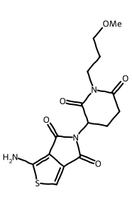 COCCCN1C(=O)CCC(N2C(=O)c3csc(N)c3C2=O)C1=O